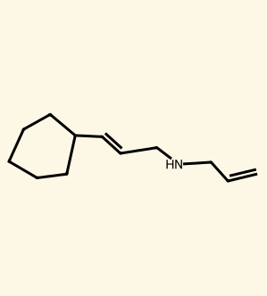 C=CCNCC=CC1CCCCC1